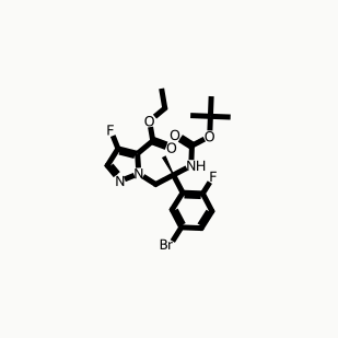 CCOC(=O)c1c(F)cnn1C[C@](C)(NC(=O)OC(C)(C)C)c1cc(Br)ccc1F